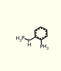 PPc1ccccc1P